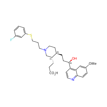 COc1ccc2nccc([C@H](O)CC[C@@H]3CCN(CCCSc4cccc(F)c4)C[C@H]3CCC(=O)O)c2c1